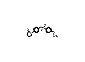 COc1ccc(S(=O)(=O)Oc2ccc(N3CCCC3=O)cc2)cc1